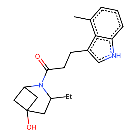 CCC1CC2(O)CC(C2)N1C(=O)CCc1c[nH]c2cccc(C)c12